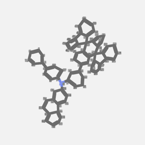 c1ccc(-c2ccc(N(c3cccc(-c4ccc5c(c4)C4(c6ccccc6-c6ccccc64)c4ccccc4C54c5ccccc5-c5ccccc54)c3)c3ccc4c(ccc5ccccc54)c3)cc2)cc1